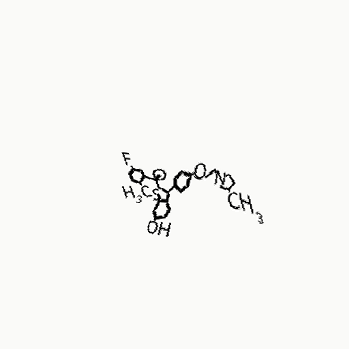 Cc1ccc(F)cc1C(=O)c1sc2cc(O)ccc2c1-c1ccc(OCCN2CC[C@@H](C)C2)cc1